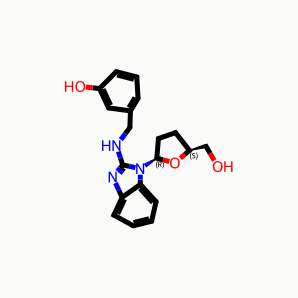 OC[C@@H]1CC[C@H](n2c(NCc3cccc(O)c3)nc3ccccc32)O1